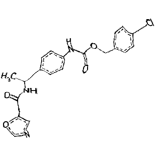 CC(NC(=O)c1cnco1)c1ccc(NC(=O)OCc2ccc(Cl)cc2)cc1